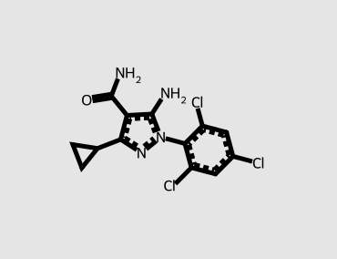 NC(=O)c1c(C2CC2)nn(-c2c(Cl)cc(Cl)cc2Cl)c1N